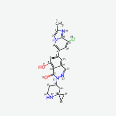 Cc1cn2cc(-c3cc(O)c4c(=O)n(C5CCNC6(CC6)C5)ncc4c3)cc(Cl)c2n1